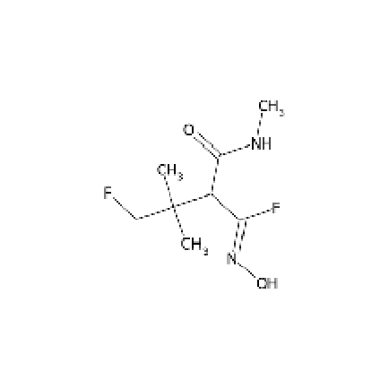 CNC(=O)C(C(F)=NO)C(C)(C)CF